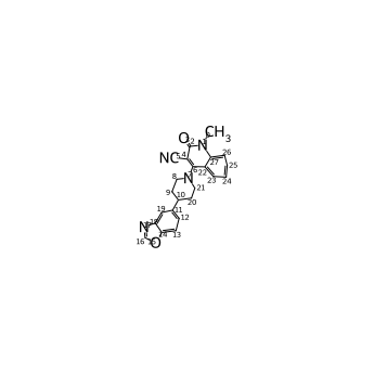 Cn1c(=O)c(C#N)c(N2CCC(c3ccc4ocnc4c3)CC2)c2ccccc21